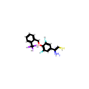 N/C(=C\S)c1cc(F)c(OCc2ccccc2C(I)(I)I)c(F)c1